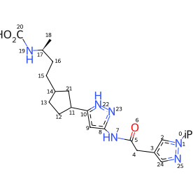 CC(C)n1cc(CC(=O)Nc2cc(C3CCC(CC[C@H](C)NC(=O)O)C3)[nH]n2)cn1